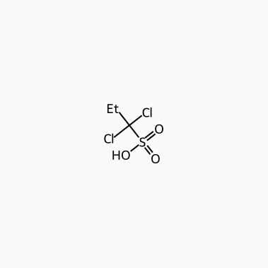 CCC(Cl)(Cl)S(=O)(=O)O